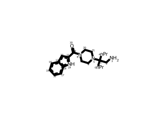 CCCC(CN)(CCC)N1CCN(C(=O)c2cc3ccccc3[nH]2)CC1